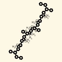 CC1(C)c2cc(-c3cc(-c4ccccc4)cc(-c4cccc(-c5ccccc5)c4)c3)ccc2-c2ccc(-c3ccc4c(c3)C(C)(C)c3cc(-c5cc6c(c7oc8ccccc8c57)-c5cc7c(cc5C6(C)C)-c5c(cc(-c6ccc8c(c6)C(C)(C)c6cc(-c9ccc%10c(c9)C(C)(C)c9cc(-c%11cc(-c%12ccccc%12)cc(-c%12cccc(-c%13ccccc%13)c%12)c%11)ccc9-%10)ccc6-8)c6c5oc5ccccc56)C7(C)C)ccc3-4)cc21